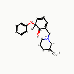 CC1(Oc2ccccc2)C=CC=C(CN2CCCC(C(=O)O)C2)C1=O